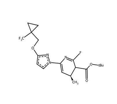 C[C@H]1C=C(n2ccc(OCC3(C(F)(F)F)CC3)n2)N=C(F)C1C(=O)OC(C)(C)C